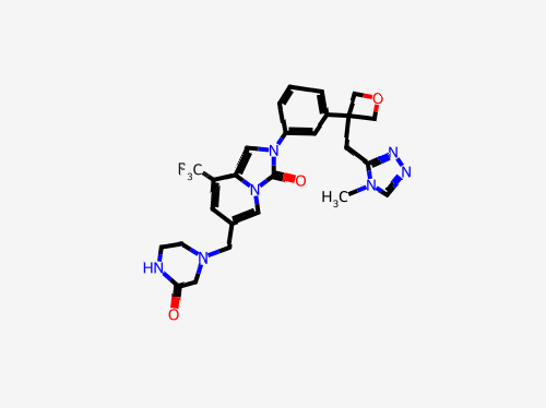 Cn1cnnc1CC1(c2cccc(-n3cc4c(C(F)(F)F)cc(CN5CCNC(=O)C5)cn4c3=O)c2)COC1